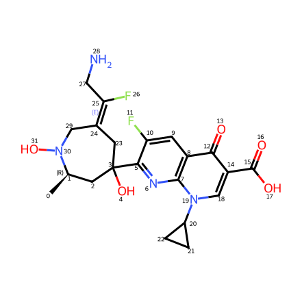 C[C@@H]1CC(O)(c2nc3c(cc2F)c(=O)c(C(=O)O)cn3C2CC2)C/C(=C(\F)CN)CN1O